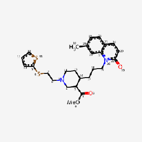 COC(=O)C1CN(CCSc2cccs2)CCC1CCCn1c(=O)ccc2ccc(C)cc21